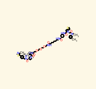 CCN(C(=O)Cn1c(C(=O)N[C@H]2CC[C@H](C(=O)NCCCCCCCC(=O)NCCOCCOCCOCCC(=O)N[C@@H](C(=O)N3CC[C@H](C(=O)NCc4ccc(-c5scnc5C)cc4)C3)C(C)(C)C)CC2)cc2sccc21)c1cccc(C)c1